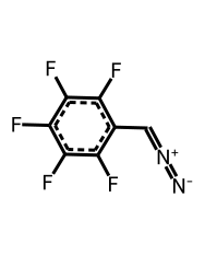 [N-]=[N+]=Cc1c(F)c(F)c(F)c(F)c1F